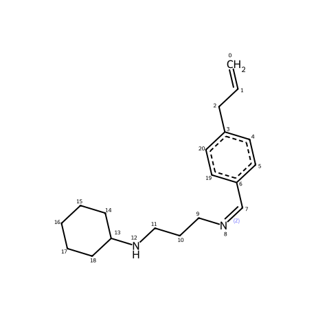 C=CCc1ccc(/C=N\CCCNC2CCCCC2)cc1